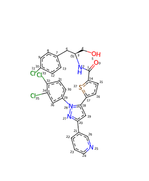 O=C(N[C@H](CO)Cc1ccc(Cl)cc1)c1ccc(-c2cc(-c3cccnc3)nn2-c2ccc(Cl)c(Cl)c2)s1